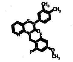 COc1cc(F)c(CN2C(=O)N(c3ccc(C)c(C)c3)Sc3cccnc32)c(F)c1